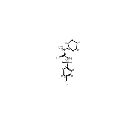 CCN(C(=O)NC(C)(C)c1ccc(F)cc1)C1CCCCC1